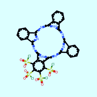 O=S(=O)(Cl)c1c(S(=O)(=O)Cl)c(S(=O)(=O)Cl)c2c3nc4nc(nc5[nH]c(nc6nc(nc([nH]3)c2c1S(=O)(=O)Cl)-c1ccccc1-6)c1ccccc51)-c1ccccc1-4